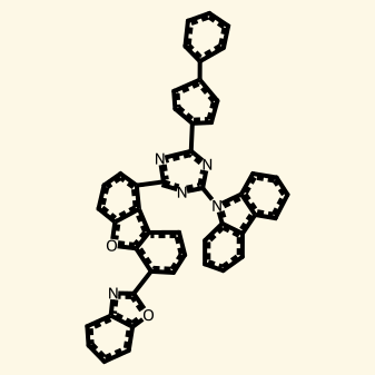 c1ccc(-c2ccc(-c3nc(-c4cccc5oc6c(-c7nc8ccccc8o7)cccc6c45)nc(-n4c5ccccc5c5ccccc54)n3)cc2)cc1